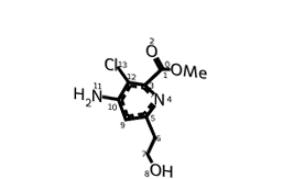 COC(=O)c1nc(CCO)cc(N)c1Cl